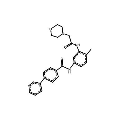 Cc1ccc(NC(=O)c2ccc(-c3ccccc3)cc2)cc1NC(=O)CN1CCOCC1